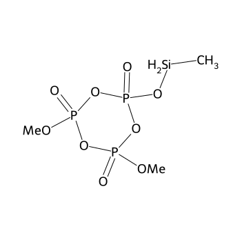 COP1(=O)OP(=O)(OC)OP(=O)(O[SiH2]C)O1